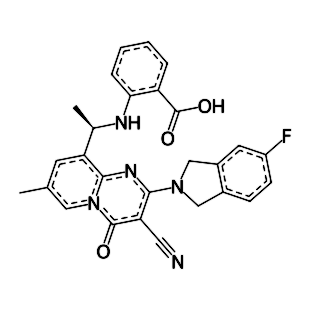 Cc1cc([C@@H](C)Nc2ccccc2C(=O)O)c2nc(N3Cc4ccc(F)cc4C3)c(C#N)c(=O)n2c1